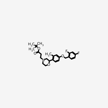 Cc1cc(OCc2ccc(F)cc2F)ccc1C1CN(CCC(=O)OC(C)(C)C)CCO1